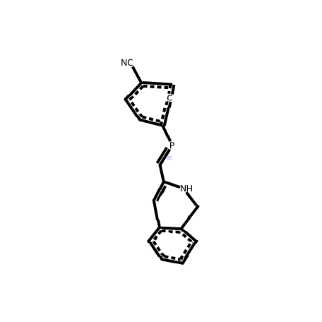 N#Cc1ccc(/P=C/C2=Cc3ccccc3CN2)cc1